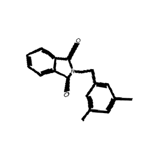 Cc1cc(C)cc(CN2C(=O)c3ccccc3C2=O)c1